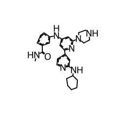 CNC(=O)c1cccc(Nc2cc(-c3ccnc(NC4CCCCC4)c3)nc(N3CCNCC3)c2)c1